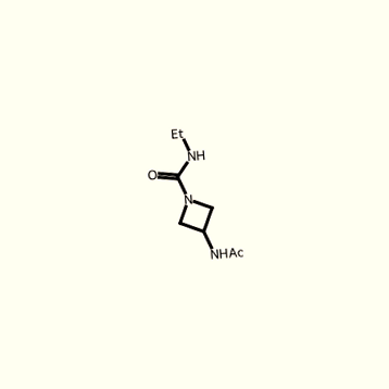 CCNC(=O)N1CC(NC(C)=O)C1